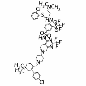 CN(C)CCC(CSc1ccccc1Cl)Nc1ccc(S(=O)(=O)Nc2nc(C(F)(F)F)nc3c2CCN(C2CCN(CC4=C(c5ccc(Cl)cc5)CC(C)(C)CC4)CC2)C3)cc1S(=O)(=O)C(F)(F)F